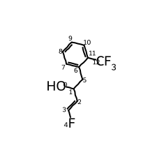 OC(C=CF)Cc1ccccc1C(F)(F)F